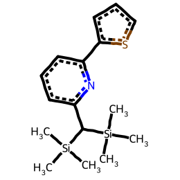 C[Si](C)(C)C(c1cccc(-c2cccs2)n1)[Si](C)(C)C